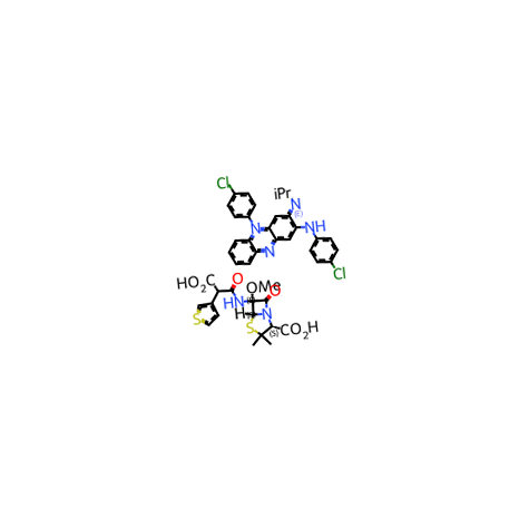 CC(C)/N=c1\cc2n(-c3ccc(Cl)cc3)c3ccccc3nc-2cc1Nc1ccc(Cl)cc1.CO[C@@]1(NC(=O)C(C(=O)O)c2ccsc2)C(=O)N2[C@@H](C(=O)O)C(C)(C)S[C@@H]21